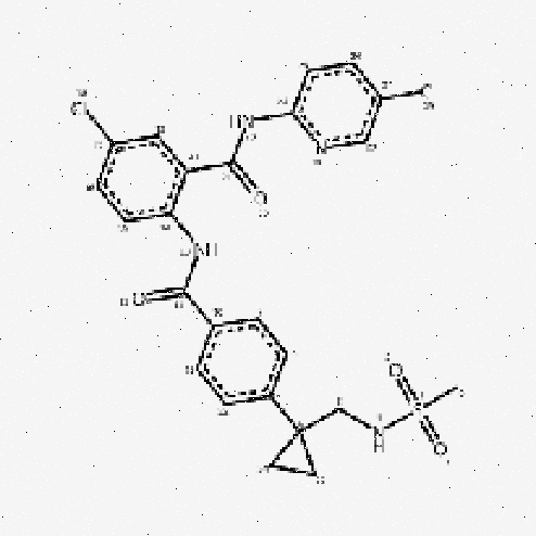 CS(=O)(=O)NCC1(c2ccc(C(=O)Nc3ccc(Cl)cc3C(=O)Nc3ccc(Cl)cn3)cc2)CC1